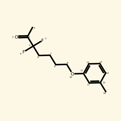 CC(=O)C(F)(F)CCCCOc1cccc(C)c1